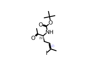 CC(=O)[C@H](C/C=C(/C)I)NC(=O)OC(C)(C)C